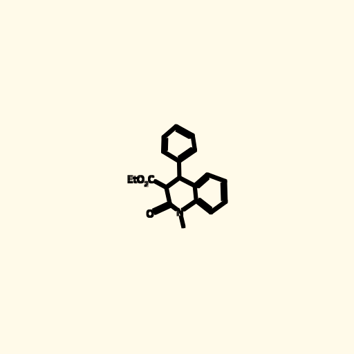 CCOC(=O)C1C(=O)N(C)c2ccccc2C1c1ccccc1